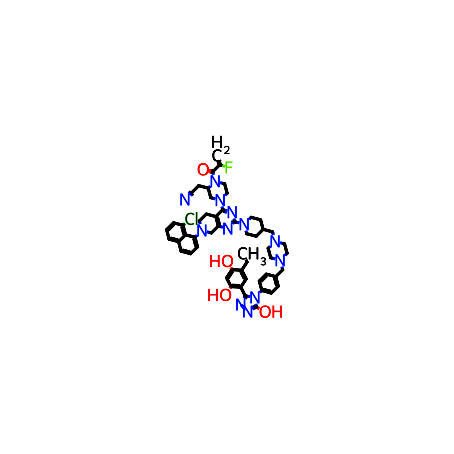 C=C(F)C(=O)N1CCN(c2nc(N3CCC(CN4CCN(Cc5ccc(-n6c(O)nnc6-c6cc(CC)c(O)cc6O)cc5)CC4)CC3)nc3c2CCN(c2cccc4cccc(Cl)c24)C3)CC1CC#N